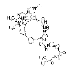 CO[C@@H](C)c1ncc(N2CCN(C3CC3)CC2)cc1-c1c2c3cc(ccc3n1CC(F)(F)F)-c1cccc(c1)C[C@H](NC(=O)[C@H](C(C)C)N1CC[C@]3(CCN(C(=O)[C@H]4CN4CC(=O)N(C)C)C3)C1)C(=O)N1CCC[C@H](N1)C(=O)OCC(C)(C)C2